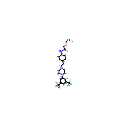 CCOCC(=O)NC1CCC(CCN2CCN(c3cc(C(F)(F)F)cc(C(F)(F)F)c3)CC2)CC1